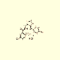 COc1ccc(Cl)cc1C(=O)NCC1CCCN1Cc1ccc(F)cc1.Cl